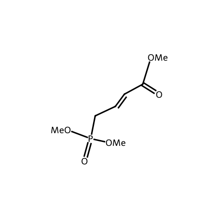 COC(=O)C=CCP(=O)(OC)OC